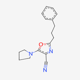 N#Cc1nc(CCCc2ccccc2)oc1N1CCCC1